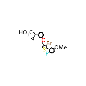 COc1ccc(F)c(-c2scc(COc3cccc(C(CC(=O)O)C4CC4)c3)c2Br)c1